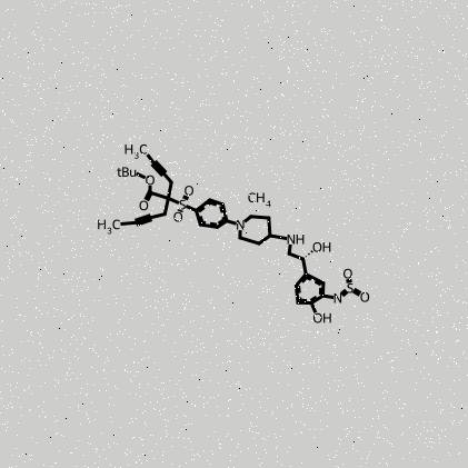 C.CC#CCC(CC#CC)(C(=O)OC(C)(C)C)S(=O)(=O)c1ccc(N2CCC(NC[C@H](O)c3ccc(O)c(N=S(=O)=O)c3)CC2)cc1